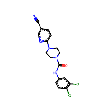 N#Cc1ccc(N2CCN(C(=O)Nc3ccc(Cl)c(Cl)c3)CC2)nc1